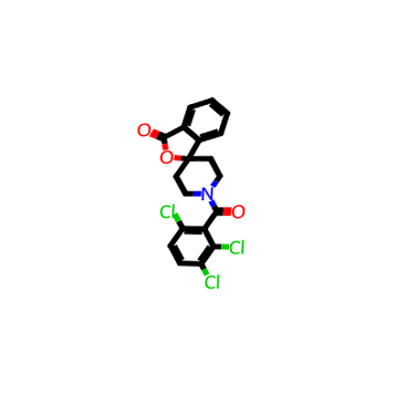 O=C1OC2(CCN(C(=O)c3c(Cl)ccc(Cl)c3Cl)CC2)c2ccccc21